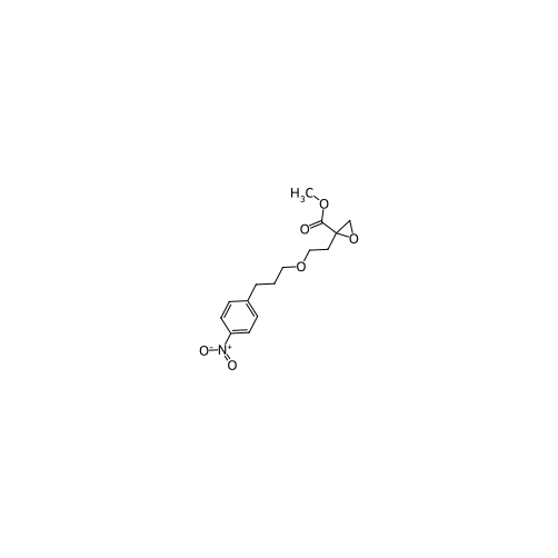 COC(=O)C1(CCOCCCc2ccc([N+](=O)[O-])cc2)CO1